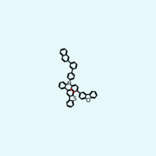 c1cc(-c2ccc(N(c3ccc(-c4ccc5oc6ccccc6c5c4)cc3)c3ccccc3-c3ccc4sc5ccccc5c4c3)cc2)cc(-c2ccc3ccccc3c2)c1